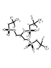 O=S(=O)(CC(F)(F)C(F)(F)F)OCC(COS(=O)(=O)CC(F)(F)C(F)(F)F)OS(=O)(=O)CC(F)(F)C(F)(F)F